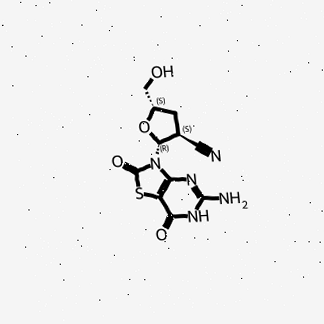 N#C[C@@H]1C[C@@H](CO)O[C@H]1n1c(=O)sc2c(=O)[nH]c(N)nc21